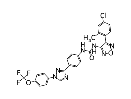 Cc1cc(Cl)ccc1-c1nonc1NC(=O)Nc1ccc(-c2ncn(-c3ccc(OC(F)(F)F)cc3)n2)cc1